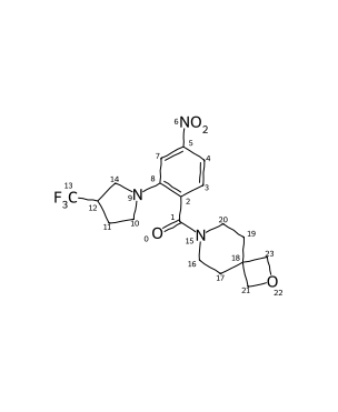 O=C(c1ccc([N+](=O)[O-])cc1N1CCC(C(F)(F)F)C1)N1CCC2(CC1)COC2